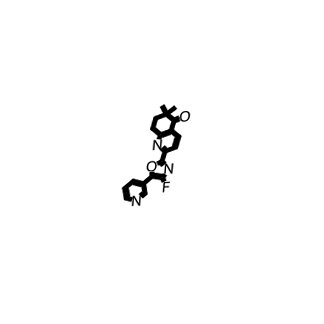 CC1(C)CCc2nc(-c3nc(F)c(-c4cccnc4)o3)ccc2C1=O